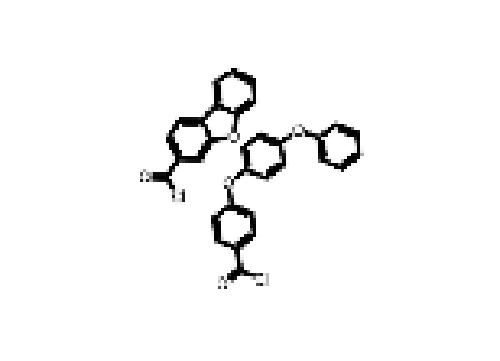 O=C(Cl)c1ccc(Oc2ccc(Oc3ccccc3)cc2)cc1.O=C(Cl)c1ccc2c(c1)oc1ccccc12